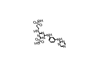 O=S(=O)(O)CCNc1nc(Nc2cccc(Nc3ncncn3)c2)nc(S(=O)(=O)O)n1